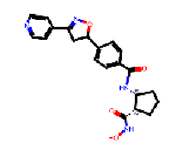 O=C(N[C@@H]1CCC[C@@H]1C(=O)NO)c1ccc(C2CC(c3ccncc3)=NO2)cc1